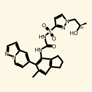 Cc1cc2c(c(NC(=O)NS(=O)(=O)c3ccn(C[C@@H](C)O)n3)c1-c1ccn3nccc3c1)CCC2